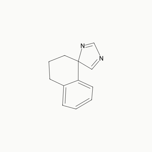 C1=NC=NC12CCCc1ccccc12